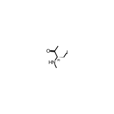 CN[C@@H](CI)C(C)=O